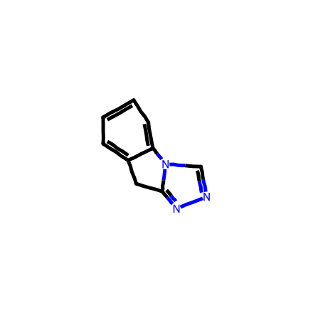 c1ccc2c(c1)Cc1nncn1-2